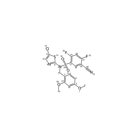 COc1ccc(CN(c2ncc(Cl)s2)S(=O)(=O)c2cc(C#N)c(F)cc2F)c(OC)c1